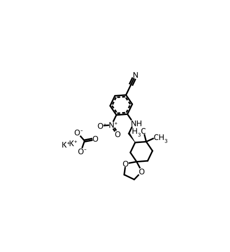 CC1(C)CCC2(C[C@H]1CNc1cc(C#N)ccc1[N+](=O)[O-])OCCO2.O=C([O-])[O-].[K+].[K+]